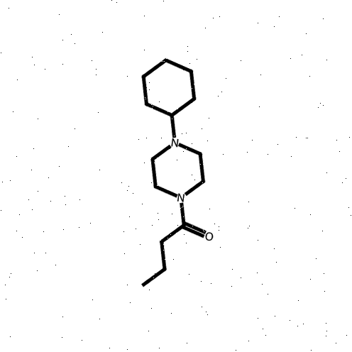 CCCC(=O)N1CCN(C2CCCCC2)CC1